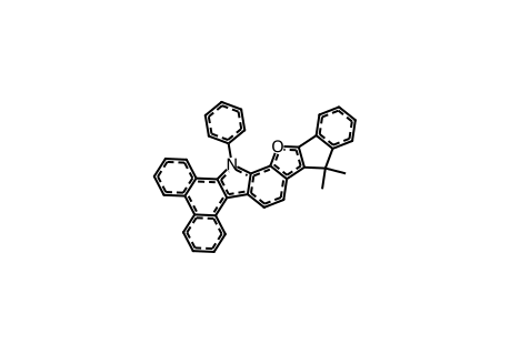 CC1(C)c2ccccc2-c2oc3c(ccc4c5c6ccccc6c6ccccc6c5n(-c5ccccc5)c43)c21